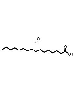 CCCCCCCCCCCCCCCC(=O)O.Cl.[Cr]